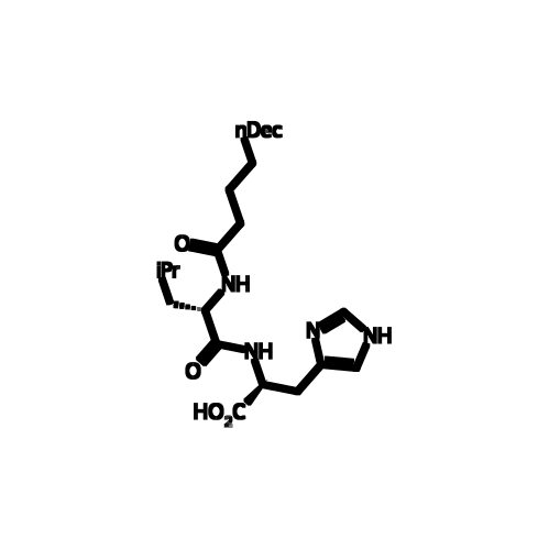 CCCCCCCCCCCCCC(=O)N[C@@H](CC(C)C)C(=O)N[C@@H](Cc1c[nH]cn1)C(=O)O